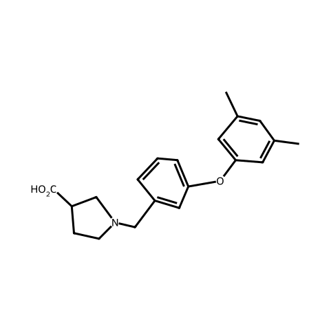 Cc1cc(C)cc(Oc2cccc(CN3CCC(C(=O)O)C3)c2)c1